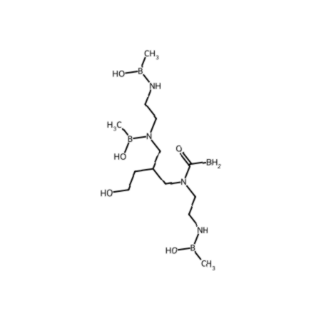 BC(=O)N(CCNB(C)O)CC(CCO)CN(CCNB(C)O)B(C)O